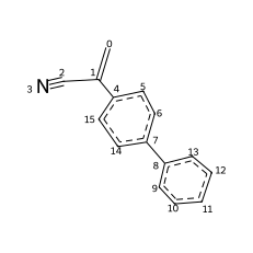 C=C(C#N)c1ccc(-c2ccccc2)cc1